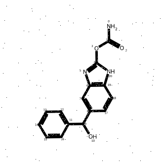 NC(=O)Oc1nc2cc(C(O)c3ccccc3)ccc2[nH]1